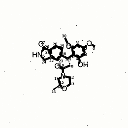 COc1cc(O)c([C@H](CC(=O)N2CCO[C@@H](C)C2)c2ccc3c(c2)CNC3=O)c(OC)c1